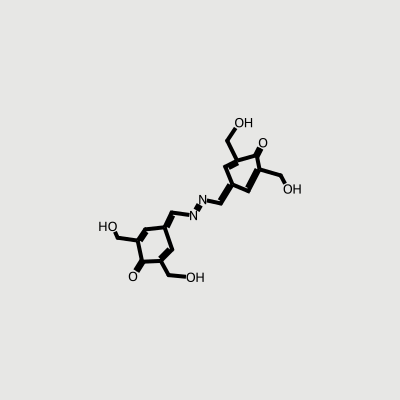 O=C1C(CO)=CC(=CN=NC=C2C=C(CO)C(=O)C(CO)=C2)C=C1CO